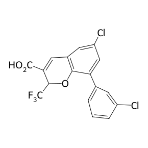 O=C(O)C1=Cc2cc(Cl)cc(-c3cccc(Cl)c3)c2OC1C(F)(F)F